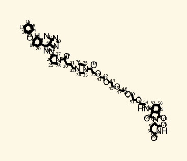 Nc1ncnc2c1c(-c1ccc(Oc3ccccc3)cc1)nn2[C@@H]1CCCN(C(=O)CCCN2CCN(C(=O)COCCOCCOCCOCCOCCNc3cccc4c3C(=O)N(C3CCC(=O)NC3=O)C4=O)CC2)C1